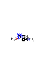 CCc1nc2c(N)nc(OC)nc2n1-c1cccc(C2CN(C)C2)c1